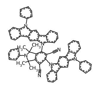 CC1(C)c2c(C#N)c(-n3c4ccccc4c4cc5c(cc43)c3ccccc3n5-c3ccccc3)c(C#N)c(-n3c4ccccc4c4cc5c(cc43)c3ccccc3n5-c3ccccc3)c2C(C)(C)N1c1ccccc1